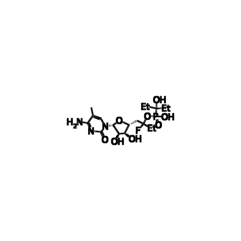 CCC(F)(C[C@H]1O[C@@H](n2cc(C)c(N)nc2=O)[C@H](O)[C@@H]1O)OP(=O)(O)C(O)(CC)CC